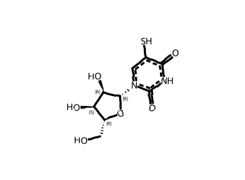 O=c1[nH]c(=O)n([C@@H]2O[C@H](CO)[C@@H](O)[C@H]2O)cc1S